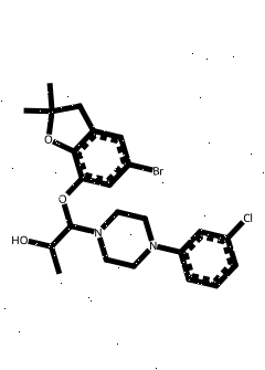 CC(O)C(Oc1cc(Br)cc2c1OC(C)(C)C2)N1CCN(c2cccc(Cl)c2)CC1